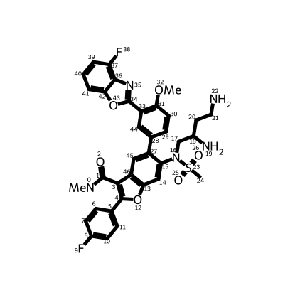 CNC(=O)c1c(-c2ccc(F)cc2)oc2cc(N(CC(N)CCN)S(C)(=O)=O)c(-c3ccc(OC)c(-c4nc5c(F)cccc5o4)c3)cc12